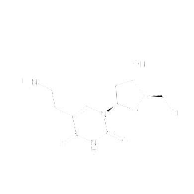 NCCc1cn([C@H]2C[C@H](O)[C@@H](CO)O2)c(=O)[nH]c1=O